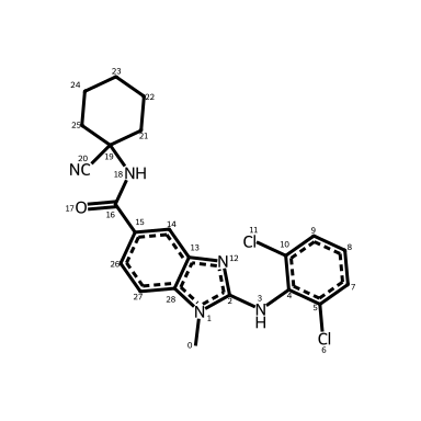 Cn1c(Nc2c(Cl)cccc2Cl)nc2cc(C(=O)NC3(C#N)CCCCC3)ccc21